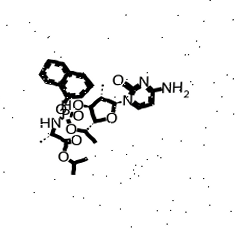 CC(C)OC(=O)[C@H](C)NP(=O)(Oc1cccc2ccccc12)OC(C)[C@H]1O[C@@H](n2ccc(N)nc2=O)[C@@H](C)[C@@H]1O